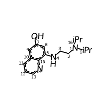 CC(C)N(CCNc1cc(O)cc2cccnc12)C(C)C